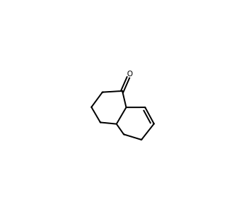 O=C1CCCC2CCC=CC12